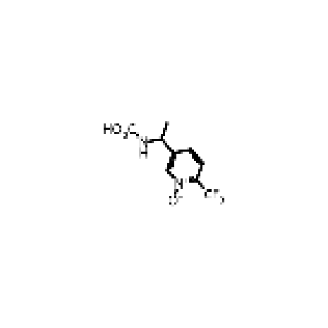 CC(NC(=O)O)c1ccc(C(F)(F)F)[n+]([O-])c1